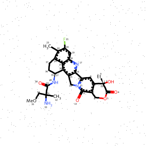 CC[C@@]1(O)C(=O)OCc2c1cc1n(c2=O)Cc2c-1nc1cc(F)c(C)c3c1c2[C@@H](NC(=O)C(C)(N)COC)CC3